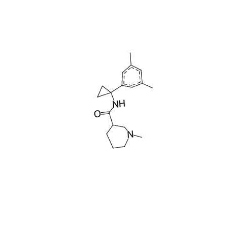 Cc1cc(C)cc(C2(NC(=O)C3CCCN(C)C3)CC2)c1